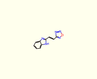 C(=C\c1nc2ccccc2[nH]1)/c1nnon1